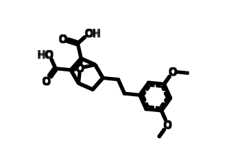 COc1cc(CCC2CC3OC2C(C(=O)O)=C3C(=O)O)cc(OC)c1